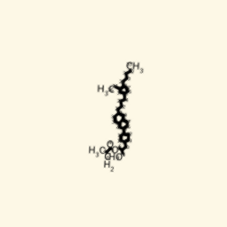 C=C(C)C(=O)OCC(CO)Cc1ccc(-c2ccc3cc(CCCCc4ccc(CCCCC)c(CC)c4)ccc3c2)cc1